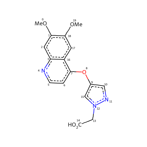 COc1cc2nccc(Oc3cnn(CC(=O)O)c3)c2cc1OC